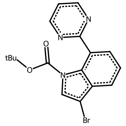 CC(C)(C)OC(=O)n1cc(Br)c2cccc(-c3ncccn3)c21